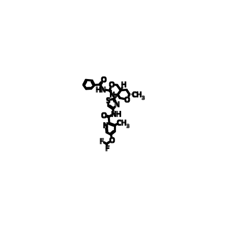 Cc1cc(OC(F)F)cnc1C(=O)Nc1csc([C@]23CO[C@@H](C)C[C@H]2COC(NC(=O)c2ccccc2)=N3)n1